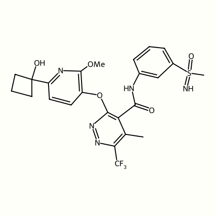 COc1nc(C2(O)CCC2)ccc1Oc1nnc(C(F)(F)F)c(C)c1C(=O)Nc1cccc(S(C)(=N)=O)c1